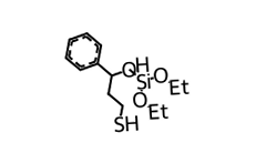 CCO[SiH](OCC)OC(CCS)c1ccccc1